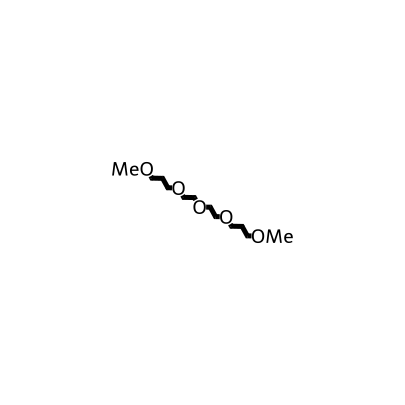 COCCCOCCOCCOCCCOC